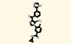 Cc1ccc(C(=O)NC2CC2)cc1-n1cnc(C(=O)c2cccc(-c3nnc[nH]3)c2)c1N